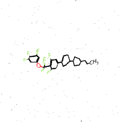 CCCC1CCC(C2CC=C(c3cc(F)c(C(F)(F)Oc4cc(F)c(F)c(F)c4)c(F)c3)CC2)CC1